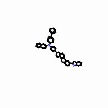 c1ccc(-c2ccc(N(c3ccc(-c4ccc5c6c(ccc5c4)-c4cc(C5=Nc7ccccc7C5)ccc4C6)cc3)c3ccc4ccccc4c3)cc2)cc1